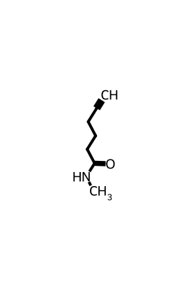 C#CCCCC(=O)NC